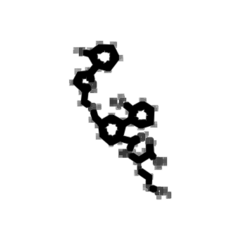 CSCC[C@H](NC(=O)c1ccc(COCc2ccc(-c3ccccc3F)o2)cc1-c1ccccc1C)C(=O)O